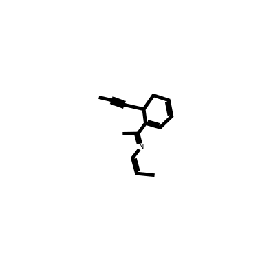 CC#CC1CC=CC=C1/C(C)=N/C=C\C